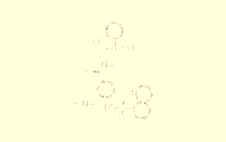 NCc1cc(C(=O)N2CCC(O)(c3ccccc3Cl)CC2)ccc1NS(=O)(=O)c1cccc2cccnc12